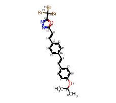 CC(C)Oc1ccc(C=Cc2ccc(C=Cc3nnc(C(Br)(Br)Br)o3)cc2)cc1